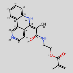 C=C(C)C(=O)OCCNC(=O)C(C#N)=C1Nc2ccccc2-c2cnccc21